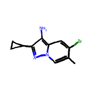 Cc1cn2nc(C3CC3)c(N)c2cc1Br